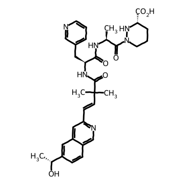 C[C@H](NC(=O)[C@H](Cc1cccnc1)NC(=O)C(C)(C)/C=C/c1cc2cc([C@@H](C)O)ccc2cn1)C(=O)N1CCC[C@@H](C(=O)O)N1